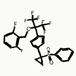 O=S(=O)(c1ccccc1)C1(c2ccc(C(OCc3c(F)cccc3F)(C(F)(F)F)C(F)(F)F)cc2)CC1